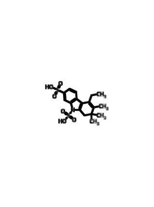 CCC1=C(C)C(C)(C)Cc2c1c1ccc(S(=O)(=O)O)cc1n2S(=O)(=O)O